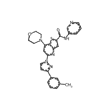 Cc1cccc(-c2ccn(-c3cc(N4CCOCC4)c4sc(C(=O)Nc5cccnc5)cc4n3)n2)c1